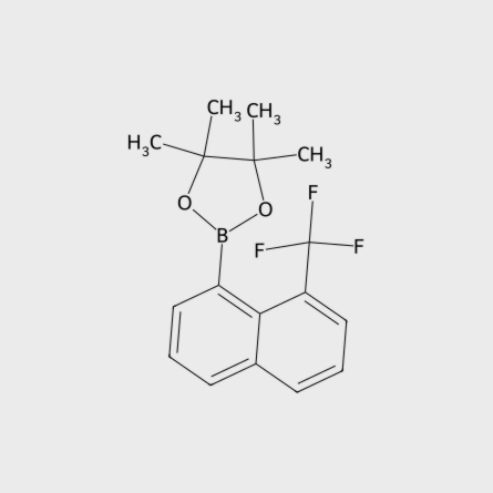 CC1(C)OB(c2cccc3cccc(C(F)(F)F)c23)OC1(C)C